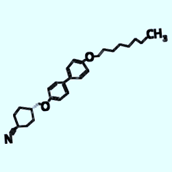 CCCCCCCCOc1ccc(-c2ccc(OC[C@H]3CC[C@H](C#N)CC3)cc2)cc1